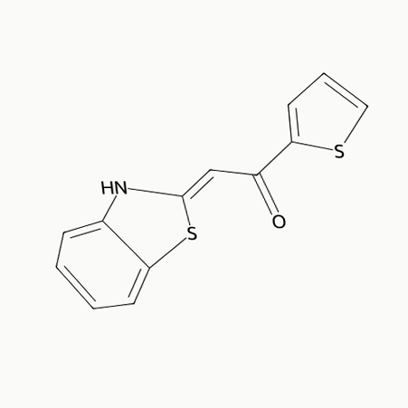 O=C(C=C1Nc2ccccc2S1)c1cccs1